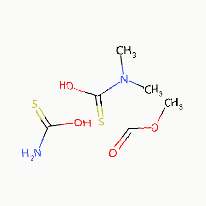 CN(C)C(O)=S.COC=O.NC(O)=S